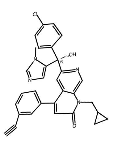 C#Cc1cccc(-c2cc(=O)n(CC3CC3)c3cnc([C@](O)(c4ccc(Cl)cc4)c4cncn4C)cc23)c1